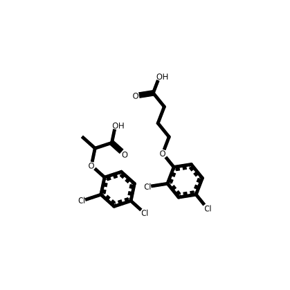 CC(Oc1ccc(Cl)cc1Cl)C(=O)O.O=C(O)CCCOc1ccc(Cl)cc1Cl